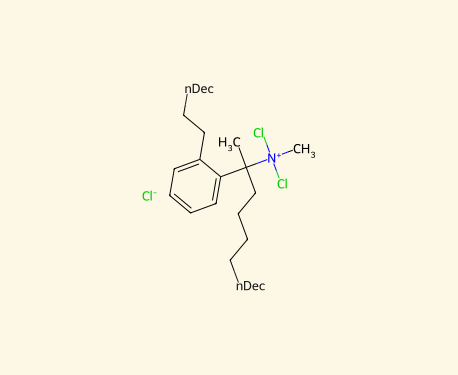 CCCCCCCCCCCCCCC(C)(c1ccccc1CCCCCCCCCCCC)[N+](C)(Cl)Cl.[Cl-]